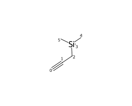 C#CC[Si](C)C